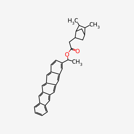 CC(OC(=O)CC1CC2CC1C(C)C2C)c1ccc2cc3cc4cc5ccccc5cc4cc3cc2c1